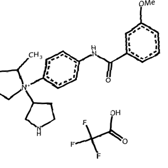 COc1cccc(C(=O)Nc2ccc([N+]3(C4CCNC4)CCCC3C)cc2)c1.O=C(O)C(F)(F)F